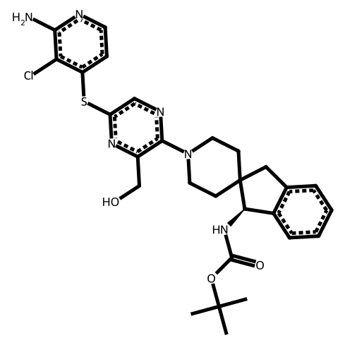 CC(C)(C)OC(=O)N[C@@H]1c2ccccc2CC12CCN(c1ncc(Sc3ccnc(N)c3Cl)nc1CO)CC2